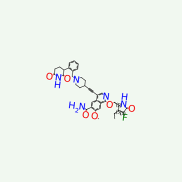 CC[C@@H]1[C@H](F)C(=O)N[C@@H]1COc1ncc(C#CC2CCN(Cc3ccccc3C3CCC(=O)NC3=O)CC2)c2cc(C(N)=O)c(OC)cc12